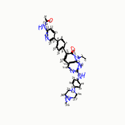 CCn1c(=O)c(-c2ccc(-c3ccc(NC(C)=O)nc3)cc2)cc2cnc(Nc3ccc(N4CCN(C)CC4)cc3)nc21